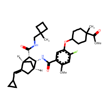 COC(=O)C1(C)CCC(Oc2cc(C(=O)N[C@@H]3[C@H]4CC(=CC5CC5)[C@H](C4)[C@@H]3C(=O)NCC3(C)CCC3)c(OC)cc2F)CC1